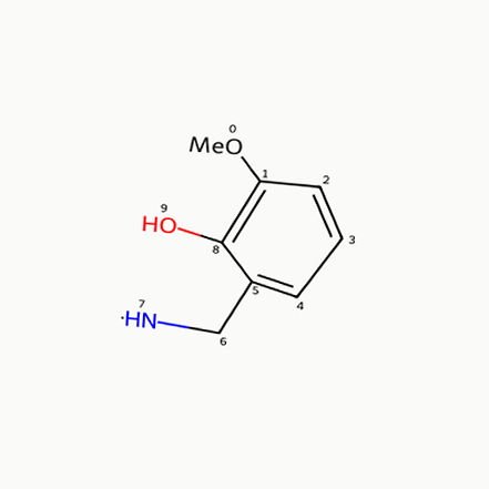 COc1cccc(C[NH])c1O